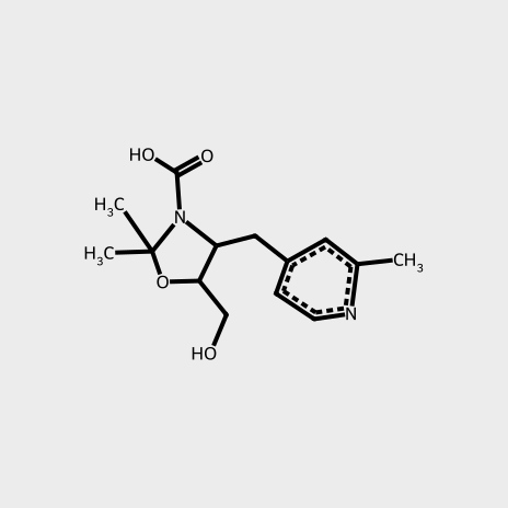 Cc1cc(CC2C(CO)OC(C)(C)N2C(=O)O)ccn1